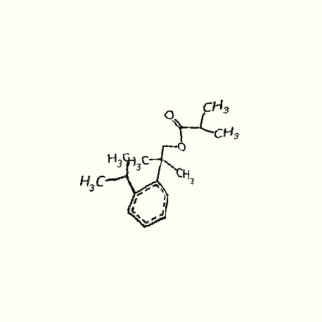 CC(C)C(=O)OCC(C)(C)c1ccccc1C(C)C